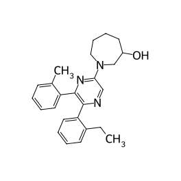 CCc1ccccc1-c1ncc(N2CCCCC(O)C2)nc1-c1ccccc1C